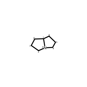 [CH]1CCN2CCCC12